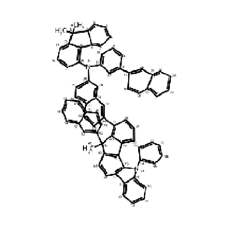 CC1(C)c2ccccc2-c2c(N(c3cccc(-c4ccc5ccccc5c4)c3)c3ccc4ccc(-c5cccc6c5C(C)(c5ccc7ccccc7c5)c5ccc7c8ccccc8n(-c8ccccc8)c7c5-6)cc4c3)cccc21